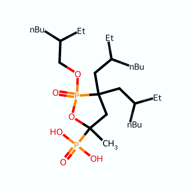 CCCCC(CC)COP1(=O)OC(C)(P(=O)(O)O)CC1(CC(CC)CCCC)CC(CC)CCCC